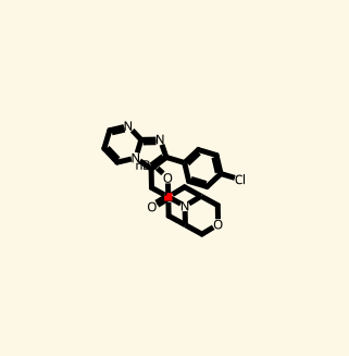 CCCCOC(=O)N1C2COCC1CN(Cc1c(-c3ccc(Cl)cc3)nc3ncccn13)C2